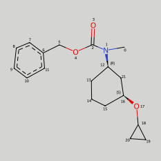 CN(C(=O)OCc1ccccc1)[C@@H]1CCC[C@H](OC2CC2)C1